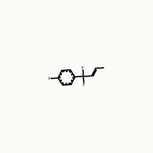 C/C=C/C(F)(F)c1ccc(F)cc1